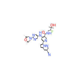 C[C@@H]1CN(c2ncc(Nc3cc(-c4ccc5cc(C#N)cnn45)ncc3C(=O)NCC(F)C(C)(C)O)cn2)C[C@H](C)O1